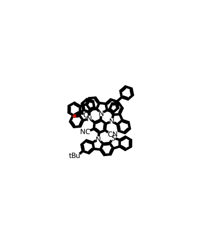 CC(C)(C)c1ccc2c(c1)c1ccc3c4ccccc4sc3c1n2-c1c(C#N)c(-n2c3ccccc3c3ccccc32)c(-n2c3ccc(-c4ccccc4)cc3c3ccc4c5ccccc5oc4c32)c(-n2c3ccccc3c3ccccc32)c1C#N